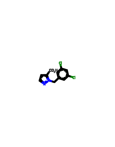 O=C(O)c1ccnn1Cc1cc(Cl)cc(Cl)c1